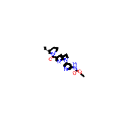 CCOC(=O)Nc1cncc(-n2ccc3cc(C(=O)N4CCC[C@@H](CC)C4)cnc32)c1